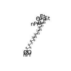 CCCOC(=O)CCCCCCCCCCCCCCCCC(CC)C(CC)C(=O)OCCC